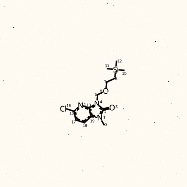 Cn1c(=O)n(COCC[Si](C)(C)C)c2nc(Cl)ccc21